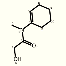 CN(C(=O)CO)C1=CCCCC1